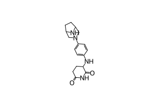 O=C1CCC(Nc2ccc(N3CC4CCC(C3)N4)cc2)C(=O)N1